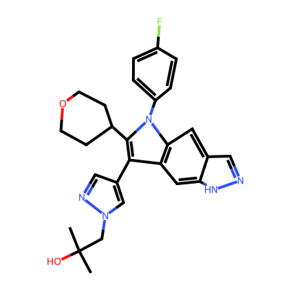 CC(C)(O)Cn1cc(-c2c(C3CCOCC3)n(-c3ccc(F)cc3)c3cc4cn[nH]c4cc23)cn1